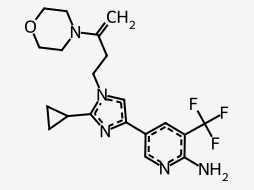 C=C(CCn1cc(-c2cnc(N)c(C(F)(F)F)c2)nc1C1CC1)N1CCOCC1